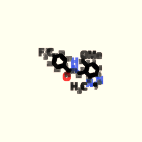 COCc1ccc2ncn(C)c2c1CNC(=O)c1ccc(C(F)(F)F)cc1